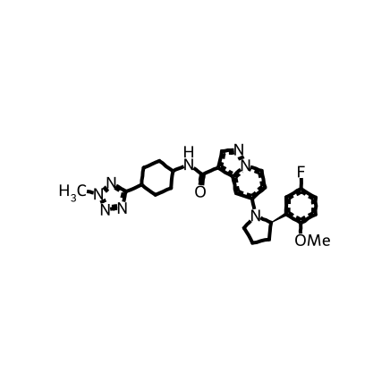 COc1ccc(F)cc1[C@H]1CCCN1c1ccn2ncc(C(=O)NC3CCC(c4nnn(C)n4)CC3)c2c1